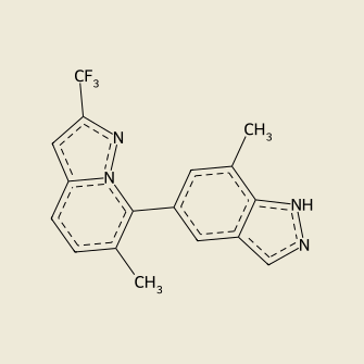 Cc1ccc2cc(C(F)(F)F)nn2c1-c1cc(C)c2[nH]ncc2c1